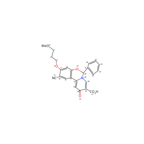 COCCCOc1cc2c(cc1C#N)-c1cc(=O)c(C(=O)O)cn1C(c1ccccc1)O2